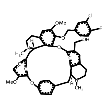 COc1ccc2cc1Oc1ccc(cc1)C[C@H]1c3cc(c(CO)cc3CCN1C)Oc1c(OCc3ccc(F)c(Cl)c3)c(OC)cc3c1[C@H](C2)N(C)CC3